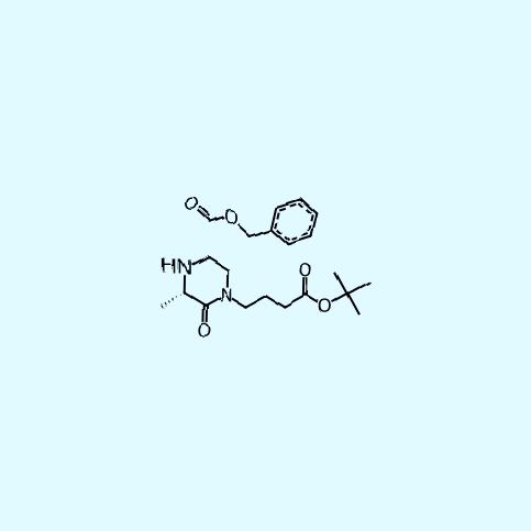 C[C@@H]1NCCN(CCCC(=O)OC(C)(C)C)C1=O.O=COCc1ccccc1